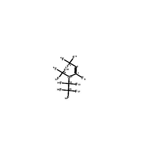 F/C(=C/C(F)(F)F)N(C(F)(F)F)C(F)(F)C(F)(F)F